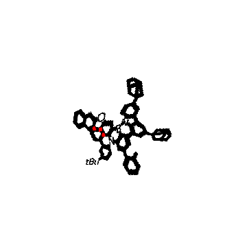 Cc1ccccc1-c1cc2c3c(c1)N(c1ccc(C(C)(C)C)cc1-c1ccccc1)c1cc4c(cc1B3n1c3ccc(C56CC7CC(CC(C7)C5)C6)cc3c3cc(C56CC7CC(CC(C7)C5)C6)cc-2c31)oc1cc2ccccc2cc14